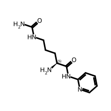 NC(=O)NCCC[C@H](N)C(=O)Nc1ccccn1